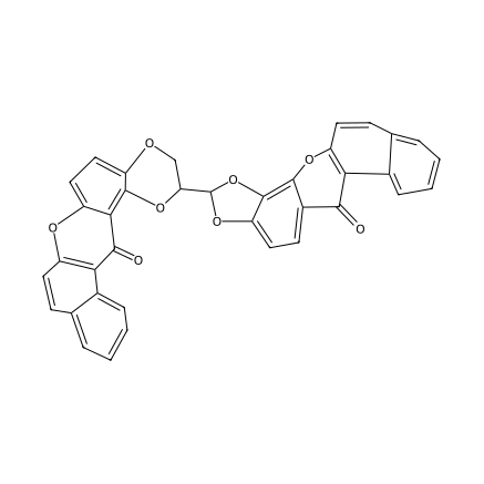 O=c1c2ccc3c(c2oc2ccc4ccccc4c12)OC(C1COc2ccc4oc5ccc6ccccc6c5c(=O)c4c2O1)O3